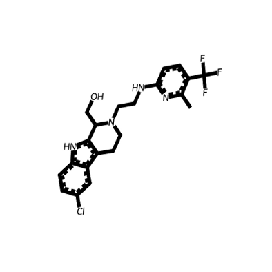 Cc1nc(NCCN2CCc3c([nH]c4ccc(Cl)cc34)C2CO)ccc1C(F)(F)F